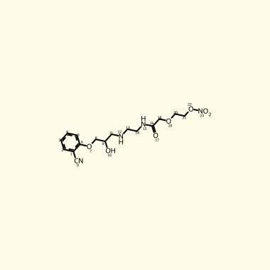 N#Cc1ccccc1OCC(O)CNCCNC(=O)COCCO[N+](=O)[O-]